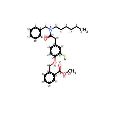 CCCCCCN(Cc1ccccc1)C(=O)Cc1ccc(OCc2ccccc2C(=O)OC)c(F)c1